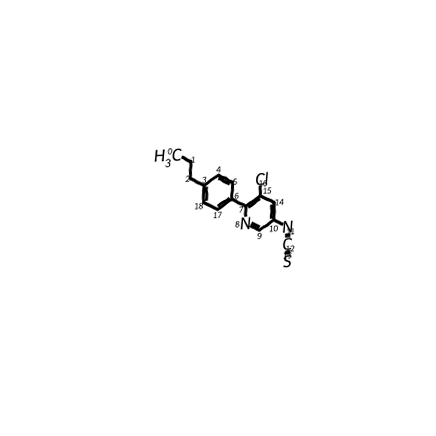 CCCc1ccc(-c2ncc(N=C=S)cc2Cl)cc1